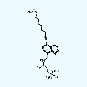 CCCCCCCCC#Cc1ccc(CNC(C)CCP(=O)(O)O)c2ncccc12